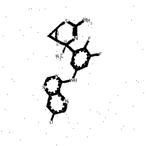 C[C@]1(c2cc(Nc3ncnc4cc(Cl)cnc34)cc(F)c2F)N=C(N)SC2C[C@H]21